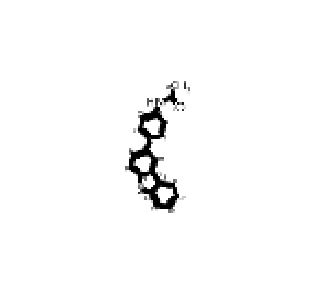 CC(=O)Nc1ccc(-c2ccc3sc4ccccc4c3c2)cc1